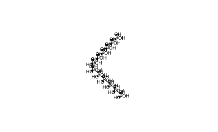 OB(O)O.OB(O)O.OB(O)O.OB(O)O.OB(O)O.OB(O)O.OB(O)O.OB(O)O.OB(O)O.OB(O)O.OB(O)O.OB(O)O.[LiH]